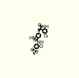 CCS(=O)(=O)c1ccc(Nc2n[nH]c3cc([C@@H]4C[C@@]45C(=O)Nc4ccc(OC)cc45)ccc23)c(OC)c1